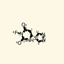 O=c1cc[nH]c(=O)n1F.c1nncs1